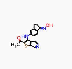 CC(=O)c1sc2cnccc2c1Nc1ccc2c(c1)CC/C2=N\O